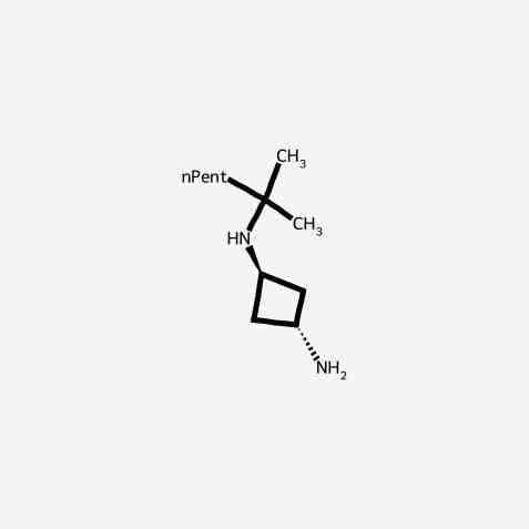 CCCCCC(C)(C)N[C@H]1C[C@H](N)C1